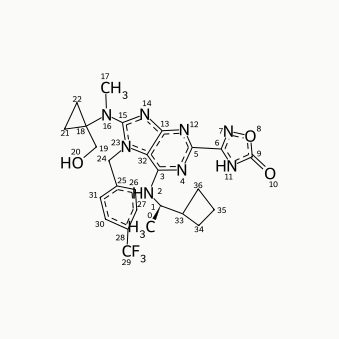 C[C@@H](Nc1nc(-c2noc(=O)[nH]2)nc2nc(N(C)C3(CO)CC3)n(Cc3ccc(C(F)(F)F)cc3)c12)C1CCC1